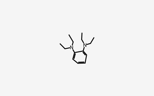 CCN(CC)c1ccccc1N(CC)CC